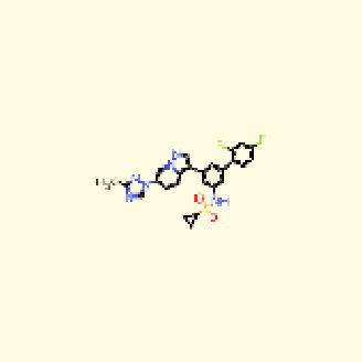 Cc1ncn(-c2ccc3c(-c4cc(NS(=O)(=O)C5CC5)cc(-c5ccc(F)cc5F)c4)cnn3c2)n1